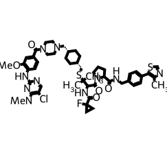 CNc1nc(Nc2ccc(C(=O)N3CCN(C[C@H]4CC[C@@H](CSC(C)(C)C(NC(=O)C5(F)CC5)C(=O)N5CCCC5C(=O)NCc5ccc(-c6scnc6C)cc5)CC4)CC3)cc2OC)ncc1Cl